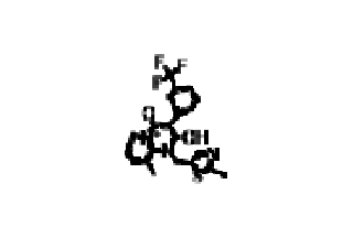 Cc1ncc(Cn2c(O)c(-c3cccc(C(F)(F)F)c3)c(=O)[n+]3cccc(C)c23)s1